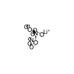 O=C([O-])c1cccc(C#CN(Cc2ccccc2)S(=O)(=O)c2ccc3occc3c2)c1-n1cccc1.[Li+]